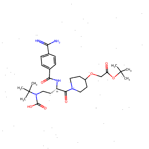 CC(C)(C)OC(=O)COC1CCN(C(=O)[C@H](CCN(C(=O)O)C(C)(C)C)NC(=O)c2ccc(C(=N)N)cc2)CC1